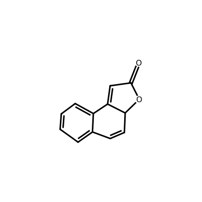 O=C1C=C2c3ccccc3C=CC2O1